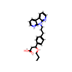 CCCOC(CC(=O)O)c1ccc(CCCn2c3ncccc3c3cccnc32)cc1